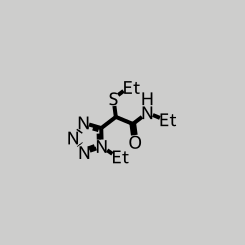 CCNC(=O)C(SCC)c1nnnn1CC